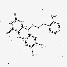 COc1ccccc1CCCn1c2nc(=O)[nH]c(=O)c-2nc2cc(C)c(C)cc21